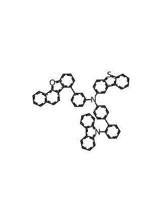 c1cc(-c2cccc3oc4c5ccccc5ccc4c23)cc(N(c2ccc(-c3ccccc3-n3c4ccccc4c4ccccc43)cc2)c2ccc3sc4ccccc4c3c2)c1